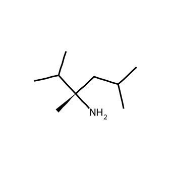 CC(C)C[C@](C)(N)C(C)C